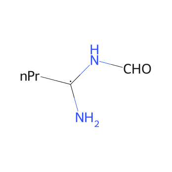 CCC[C](N)NC=O